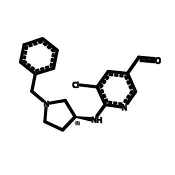 O=Cc1cnc(N[C@H]2CCN(Cc3ccccc3)C2)c(Cl)c1